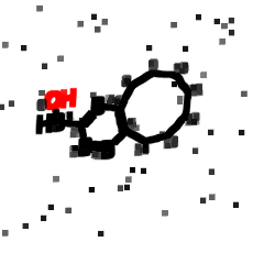 OBc1bbc2c(b1)CCCCCCC2